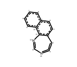 C1=Cc2ccc3ccccc3c2N=CN=1